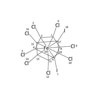 Cl[C]12[C]3(Cl)[C]4(Cl)[C]5(I)[C]1(Cl)[Fe]23451678[C]2(Cl)[C]1(Cl)[C]6(Cl)[C]7(I)[C]28Cl